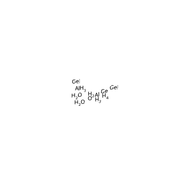 O.O.O.[AlH3].[AlH3].[GeH4].[Ge].[Ge]